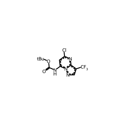 CC(C)(C)OC(=O)Nc1cc(Cl)nc2c(C(F)(F)F)cnn12